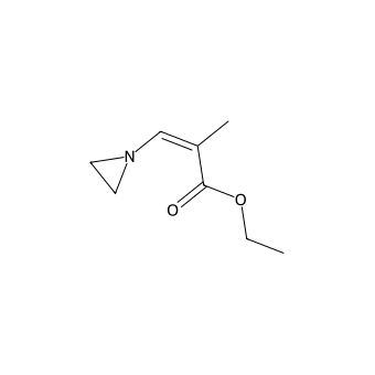 CCOC(=O)C(C)=CN1CC1